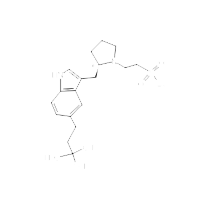 CCS(=O)(=O)CCN1CCC[C@@H]1Cc1c[nH]c2ccc(CCC(C)(C)O)cc12